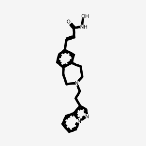 O=C(C=Cc1ccc2c(c1)CCN(CCc1cnn3ccccc13)CC2)NO